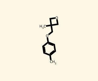 Cc1ccc(OCC2(C)COC2)cc1